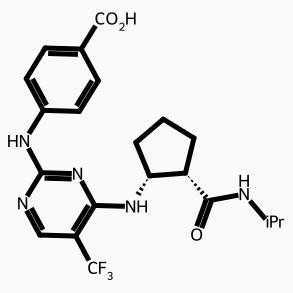 CC(C)NC(=O)[C@H]1CCC[C@H]1Nc1nc(Nc2ccc(C(=O)O)cc2)ncc1C(F)(F)F